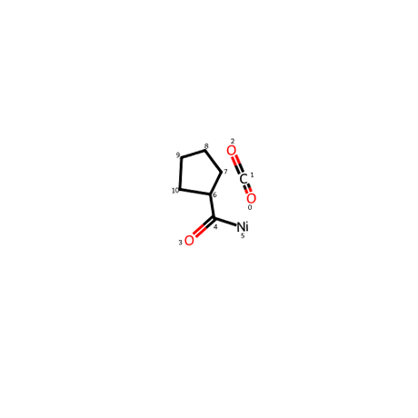 O=C=O.O=[C]([Ni])C1CCCC1